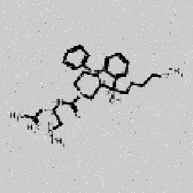 C=C(C)C[C@@H](CNC)NC(=O)N1CCC[C@@H]([C@@](O)(CCCCOC)c2ccccc2Oc2ccccc2)C1